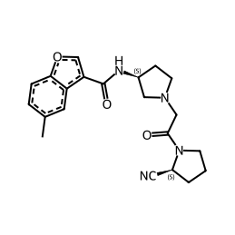 Cc1ccc2occ(C(=O)N[C@H]3CCN(CC(=O)N4CCC[C@H]4C#N)C3)c2c1